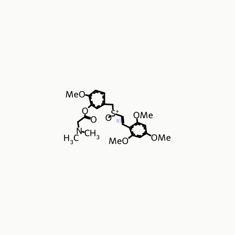 COc1cc(OC)c(/C=C/[S+]([O-])Cc2ccc(OC)c(OC(=O)CN(C)C)c2)c(OC)c1